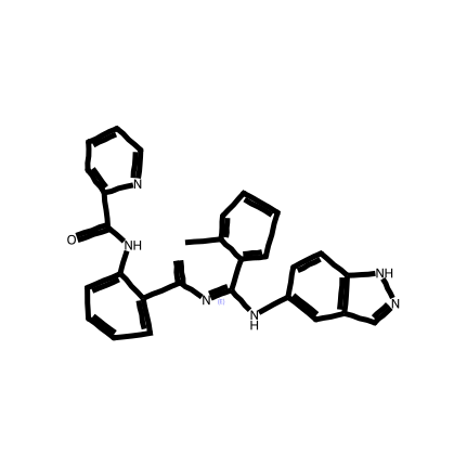 C=C(/N=C(/Nc1ccc2[nH]ncc2c1)c1ccccc1C)c1ccccc1NC(=O)c1ccccn1